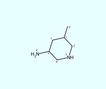 CC1CNCC(N)C1